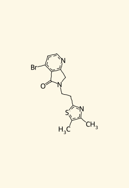 Cc1nc(CCN2Cc3nccc(Br)c3C2=O)sc1C